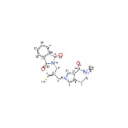 CCN1CCc2cn(CC(=CF)CN3C(=O)c4ccccc4C3=O)cc2C1=O